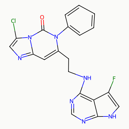 O=c1n(-c2ccccc2)c(CCNc2ncnc3[nH]cc(F)c23)cc2ncc(Cl)n12